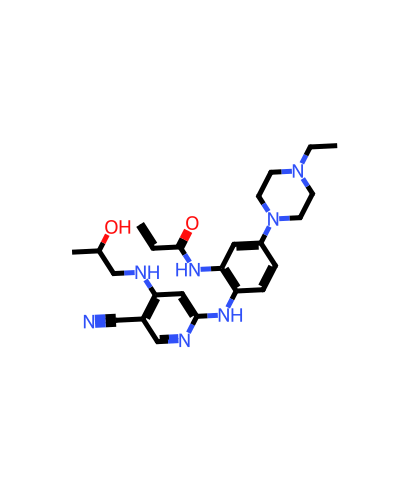 C=CC(=O)Nc1cc(N2CCN(CC)CC2)ccc1Nc1cc(NCC(C)O)c(C#N)cn1